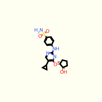 NS(=O)(=O)c1ccc(Nc2ncc(C3CC3)c(O[C@@H]3CCC[C@@H]3O)n2)cc1